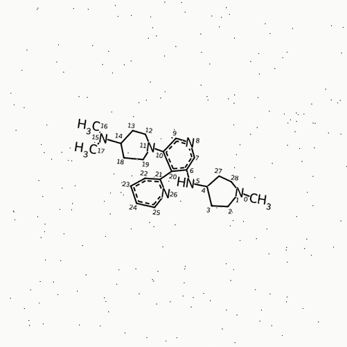 CN1CCC(Nc2cn[c]c(N3CCC(N(C)C)CC3)c2-c2ccccn2)CC1